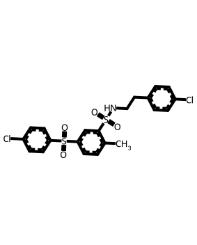 Cc1ccc(S(=O)(=O)c2ccc(Cl)cc2)cc1S(=O)(=O)NCCc1ccc(Cl)cc1